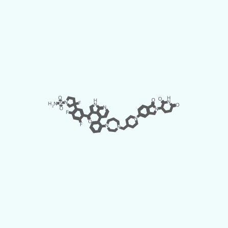 NS(=O)(=O)N1CCC(F)(c2cc(C(=O)c3c[nH]c4nccc(-c5ccccc5N5CCCN(CC6CCN(c7ccc8c(c7)CN(C7CCC(=O)NC7=O)C8=O)CC6)CC5)c34)c(F)cc2F)C1